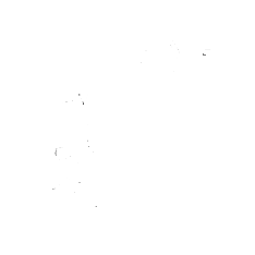 O=C(N[C@H]1CCN(CCCc2ccc(F)cc2)C1)C12CC3CC(CC(C3)C1)C2